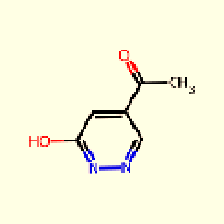 CC(=O)c1cnnc(O)c1